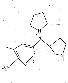 Cc1cc(C(C2CCNC2)N2CCC[C@@H]2C)ccc1[N+](=O)[O-]